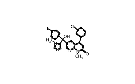 Cn1cncc1[C@@](O)(c1ccc(I)cc1)c1cnc2c(c1)c(-c1cccc(Cl)c1)cc(=O)n2C